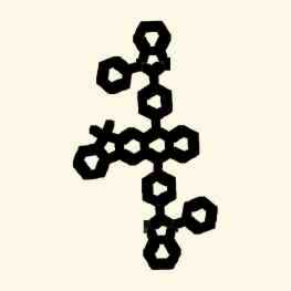 CC1(C)c2ccccc2-c2cc3c(-c4ccc(-c5nc6ccccc6n5-c5ccccc5)cc4)c4ccccc4c(-c4ccc(-c5nc6ccccc6n5-c5ccccc5)cc4)c3cc21